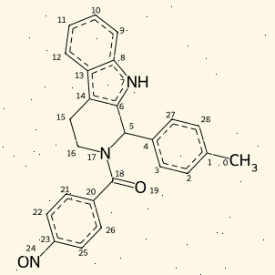 Cc1ccc(C2c3[nH]c4ccccc4c3CCN2C(=O)c2ccc(N=O)cc2)cc1